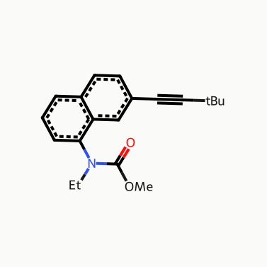 CCN(C(=O)OC)c1cccc2ccc(C#CC(C)(C)C)cc12